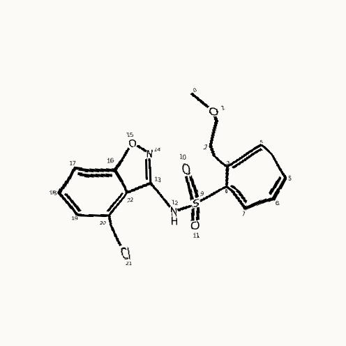 COCc1ccccc1S(=O)(=O)Nc1noc2cccc(Cl)c12